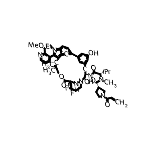 C=CC(=O)N1CC[C@H](C(=O)N(C)[C@H](C(=O)N[C@H]2Cc3cc(O)cc(c3)-c3ccc4c(c3)c(c(-c3cccnc3COC)n4CC)CC(C)(C)COC(=O)[C@H]3NN(CCC3(F)F)C2=O)C(C)C)C1